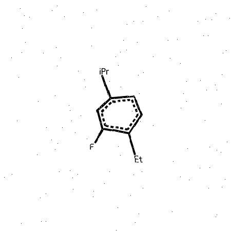 [CH2]C(C)c1ccc(CC)c(F)c1